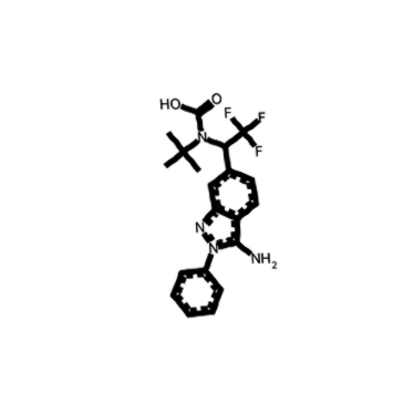 CC(C)(C)N(C(=O)O)C(c1ccc2c(N)n(-c3ccccc3)nc2c1)C(F)(F)F